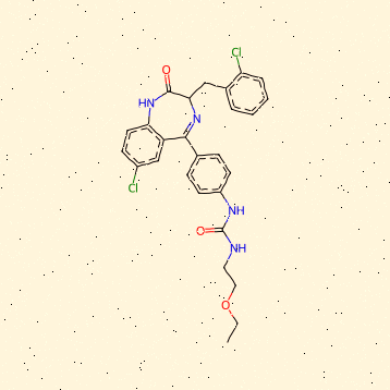 CCOCCNC(=O)Nc1ccc(C2=NC(Cc3ccccc3Cl)C(=O)Nc3ccc(Cl)cc32)cc1